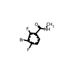 CNC(=O)c1ccc(F)c(Br)c1F